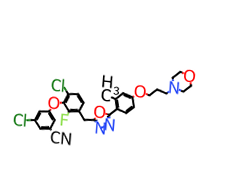 Cc1cc(OCCCN2CCOCC2)ccc1-c1nnc(Cc2ccc(Cl)c(Oc3cc(Cl)cc(C#N)c3)c2F)o1